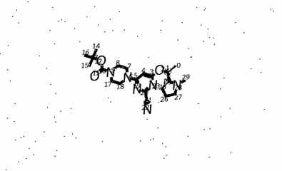 C[C@H](Oc1cc(N2CCN(C(=O)OC(C)(C)C)CC2)nc(C#N)n1)[C@@H]1CCCN1C